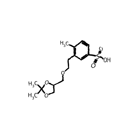 Cc1ccc(S(=O)(=O)O)cc1CCOCC1COC(C)(C)O1